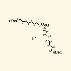 CCCCCCCCCCCCCCCCCCOS(=O)OCCCCCCCCCCCCCCCCCC.[H+]